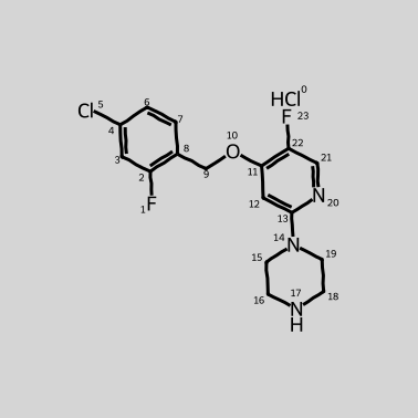 Cl.Fc1cc(Cl)ccc1COc1cc(N2CCNCC2)ncc1F